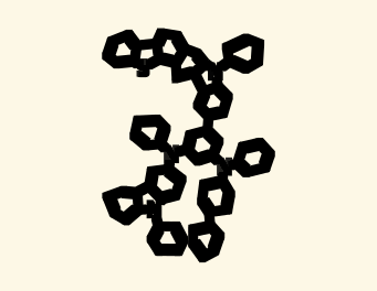 c1ccc(-c2ccc(N(c3ccccc3)c3cc(-c4ccc5c(c4)c4cc6c(ccc7c8ccccc8sc67)cc4n5-c4ccccc4)cc(N(c4ccccc4)c4ccc5c(c4)c4ccccc4n5-c4ccccc4)c3)cc2)cc1